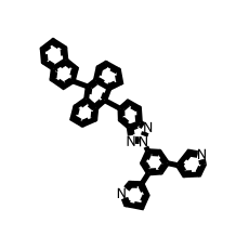 c1cncc(-c2cc(-c3cccnc3)cc(-n3nc4ccc(-c5c6ccccc6c(-c6ccc7ccccc7c6)c6ccccc56)cc4n3)c2)c1